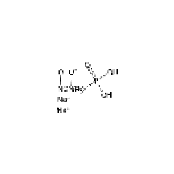 O=N[O-].O=P(O)(O)O.O=[N+]([O-])[O-].[Na+].[Na+]